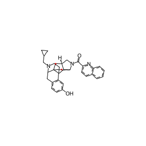 O=C(c1ccc2ccccc2n1)N1C[C@H]2CC34CCC1C2C31CCN(CC2CC2)C4Cc2ccc(O)cc21